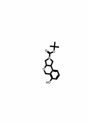 CC(C)(C)OC(=O)N1CC2OCc3c(O)cccc3C2C1